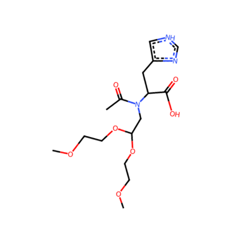 COCCOC(CN(C(C)=O)C(Cc1c[nH]cn1)C(=O)O)OCCOC